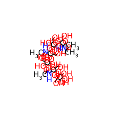 CC(=O)NC1[C@H](O[C@@H]2C(O)[C@H](O[C@@H]3C(CO)O[C@@H](O[C@@H]4C(O)[C@@H](O[C@@H]5C(NC(C)=O)C(C)OC(CO)[C@@H]5O)OC(CO)[C@@H]4O)C(NC(C)=O)[C@H]3O)OC(CO)[C@@H]2O)OC(CO)[C@@H](O[C@@H]2OC(CO)[C@H](O)[C@H](O)C2O)[C@@H]1O